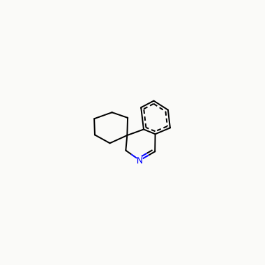 C1=NCC2(CCCCC2)c2ccccc21